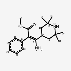 COC(=O)C(=C(N)C1CC(C)(C)NC(C)(C)C1)c1ccccc1